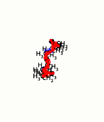 C=C(C)C(=O)OC(C)(C)C(COc1ccccc1)COC(C)(C)CNCCCOC(C)(C)CCOc1ccc(OCCC(C)(C)OCCCN(C)C(C)(C)OCC(COc2ccccc2)C(C)(C)OC(=O)C(=C)C)cc1